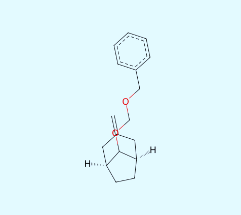 C=C1C[C@H]2CC[C@@H](C1)C2OCOCc1ccccc1